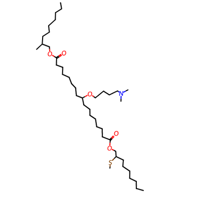 CCCCCCCC(C)COC(=O)CCCCCCCC(CCCCCCCC(=O)OCC(CCCCCCC)SC)OCCCCN(C)C